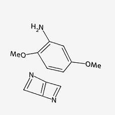 COc1ccc(OC)c(N)c1.c1nc2cnc1=2